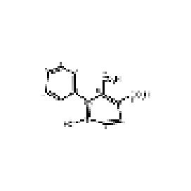 O=C(O)c1ccc(O)c(-c2ccccc2)c1C(=O)O